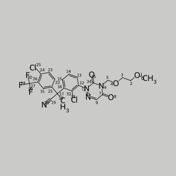 COCCOCn1c(=O)cnn(-c2cccc(C(C)(C#N)c3ccc(Cl)c(C(F)(F)F)c3)c2Cl)c1=O